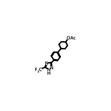 CC(=O)OC1CCC(c2ccc(-c3n[nH]c(C(F)(F)F)n3)cc2)CC1